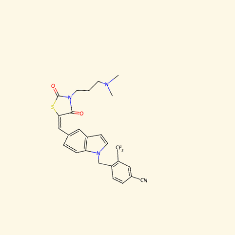 CN(C)CCCN1C(=O)SC(=Cc2ccc3c(ccn3Cc3ccc(C#N)cc3C(F)(F)F)c2)C1=O